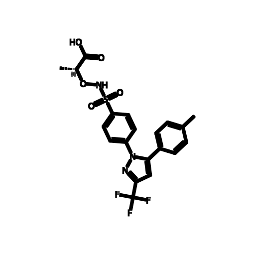 Cc1ccc(-c2cc(C(F)(F)F)nn2-c2ccc(S(=O)(=O)NO[C@H](C)C(=O)O)cc2)cc1